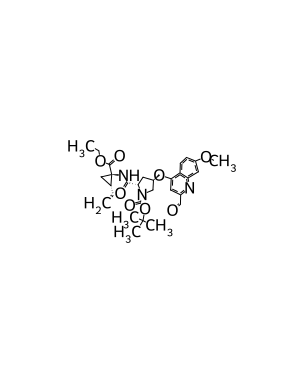 C=C[C@@H]1C[C@]1(NC(=O)[C@@H]1C[C@@H](Oc2cc(C=O)nc3cc(OC)ccc23)CN1C(=O)OC(C)(C)C)C(=O)OCC